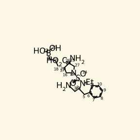 CCN([C@H](CN)Cc1ccccc1)S(=O)(=O)N1C[C@H](CCCB(O)O)[C@](N)(C(=O)O)C1